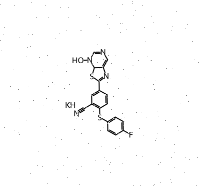 N#Cc1cc(C2=NC3=CN=CN(O)C3S2)ccc1Sc1ccc(F)cc1.[KH]